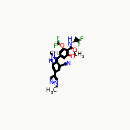 CCn1cc(-c2cc(C#N)c3c(-c4cc(OC)c(C(=O)N[C@@H]5CC5(F)F)c(OC(F)F)c4)n(C)nc3c2)cn1